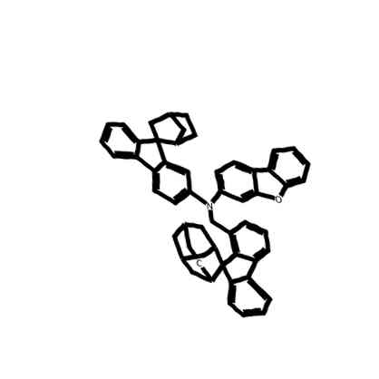 c1ccc2c(c1)-c1ccc(N(Cc3cccc4c3C3(c5ccccc5-4)C4CCC5CC(C4)CC3C5)c3ccc4c(c3)oc3ccccc34)cc1C21CC2CCC1C2